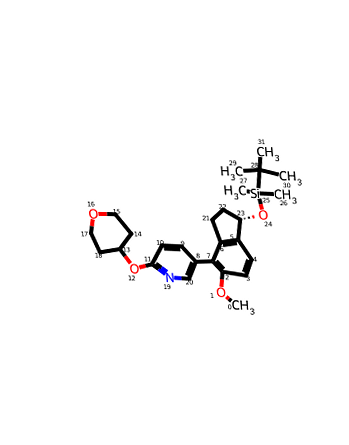 COc1ccc2c(c1-c1ccc(OC3CCOCC3)nc1)CC[C@@H]2O[Si](C)(C)C(C)(C)C